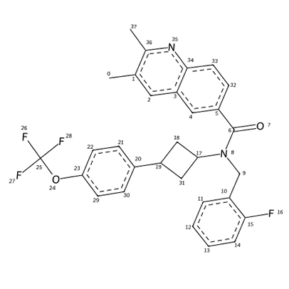 Cc1cc2cc(C(=O)N(Cc3ccccc3F)C3CC(c4ccc(OC(F)(F)F)cc4)C3)ccc2nc1C